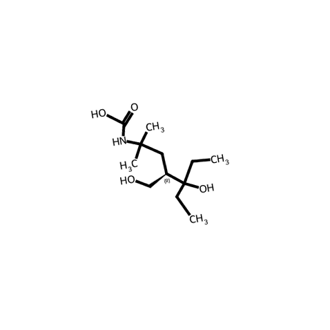 CCC(O)(CC)[C@@H](CO)CC(C)(C)NC(=O)O